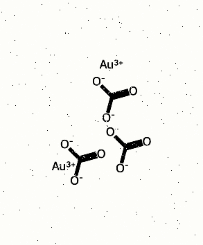 O=C([O-])[O-].O=C([O-])[O-].O=C([O-])[O-].[Au+3].[Au+3]